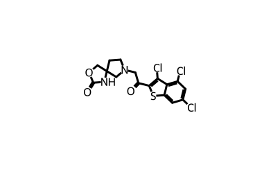 O=C1NC2(CCN(CC(=O)c3sc4cc(Cl)cc(Cl)c4c3Cl)C2)CO1